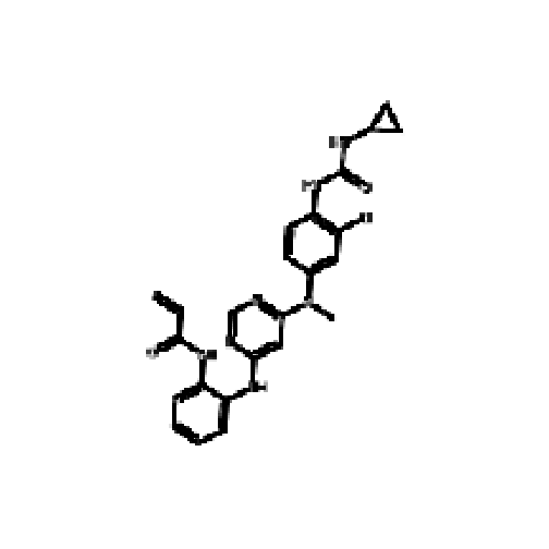 C=CC(=O)Nc1ccccc1Nc1cc(N(C)c2ccc(NC(=O)NC3CC3)c(Cl)c2)ncn1